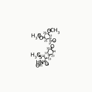 COC1=CC(C(=O)COc2ccc(CC(CSC)C(=O)NC=O)cc2)=CC(OC)C1